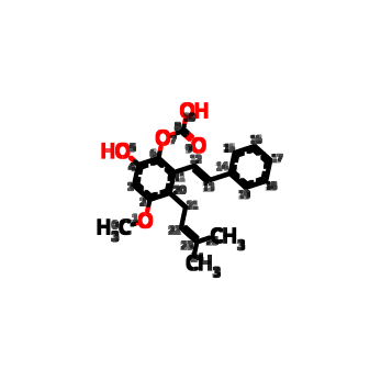 COc1cc(O)c(OC(=O)O)c(C=Cc2ccccc2)c1CC=C(C)C